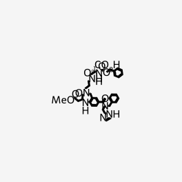 COC(=O)CC1Nc2ccc(C(=O)N(Cc3ccccc3)Cc3ncc[nH]3)cc2CN(CCCNC(=O)[C@H](CC(=O)O)NC(=O)OCc2ccccc2)C1=O